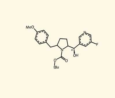 COc1ccc(CC2CCC([C@H](O)c3cncc(F)c3)N2C(=O)OC(C)(C)C)cc1